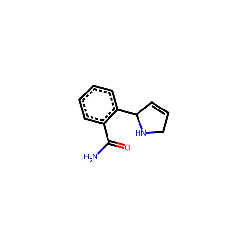 NC(=O)c1ccccc1C1C=CCN1